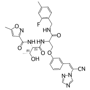 Cc1ccc(CNC(=O)C(COc2cccc(C=C(C#N)n3cncn3)c2)NC(=O)[C@@H](NC(=O)c2cc(C)on2)[C@@H](C)O)c(F)c1